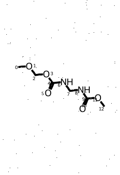 COCOC(=O)NCNC(=O)OC